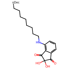 CCCCCCCCCCCCCCCCCCNc1cccc2c1C(=O)C(O)(O)C2=O